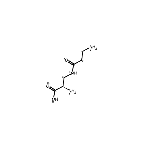 NCCC(=O)NC[C@H](N)C(=O)O